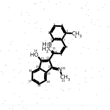 Bc1cccc(C)c1/C=C\C(=C)C1=C(O)c2ccccc2/C1=N\C